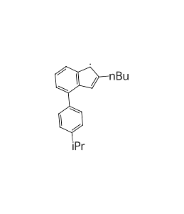 CCCCC1=Cc2c(cccc2-c2ccc(C(C)C)cc2)[CH]1